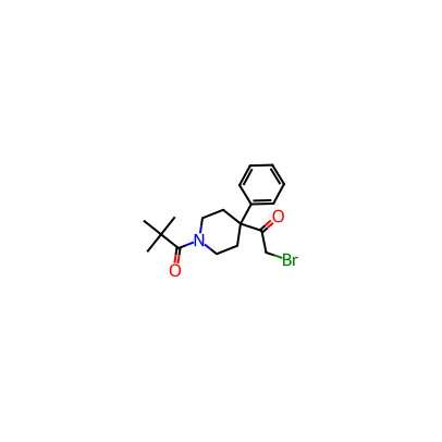 CC(C)(C)C(=O)N1CCC(C(=O)CBr)(c2ccccc2)CC1